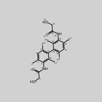 O=C(CO)Nc1c(I)cc(I)c(-c2c(I)cc(I)c(NC(=O)CO)c2I)c1I